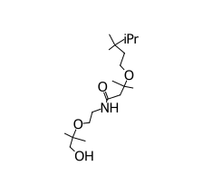 CC(C)C(C)(C)CCOC(C)(C)CC(=O)NCCOC(C)(C)CO